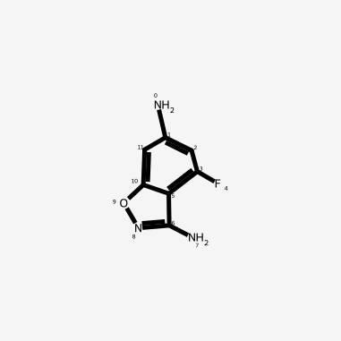 Nc1cc(F)c2c(N)noc2c1